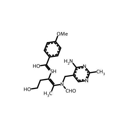 COc1ccc(/C(O)=[SH]/C(CCO)=C(/C)N(C=O)Cc2cnc(C)nc2N)cc1